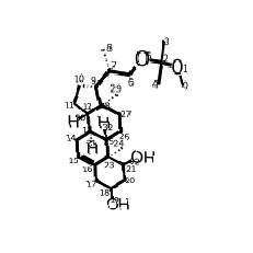 COC(C)(C)OC[C@@H](C)[C@H]1CC[C@H]2[C@@H]3CC=C4CC(O)CC(O)[C@]4(C)[C@H]3CC[C@]12C